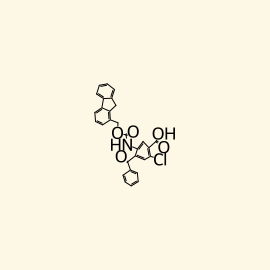 O=C(Nc1cc(C(=O)O)c(Cl)cc1C(=O)c1ccccc1)OCc1cccc2c1Cc1ccccc1-2